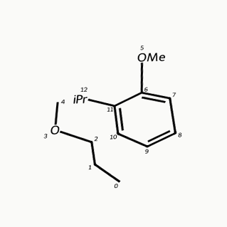 CCCOC.COc1ccccc1C(C)C